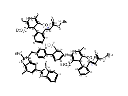 CCCc1nc2c(C)cc(-c3nc4ccccc4n3C)cc2n1Cc1ccc(-c2ccccc2C(=O)O)cc1.CCOC(=O)C1=C(C)NC(C)=C(C(=O)OCC)C1c1ccccc1/C=C/C(=O)OC(C)(C)C.CCOC(=O)C1=C(C)NC(C)=C(C(=O)OCC)C1c1ccccc1/C=C/C(=O)OC(C)(C)C